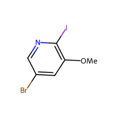 COc1cc(Br)cnc1I